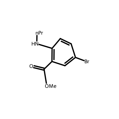 CCCNc1ccc(Br)cc1C(=O)OC